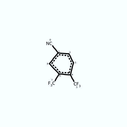 N#Cc1ccc(C(F)(F)F)c(C(F)(F)F)c1